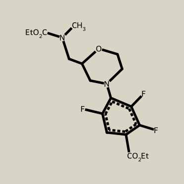 CCOC(=O)c1cc(F)c(N2CCOC(CN(C)C(=O)OCC)C2)c(F)c1F